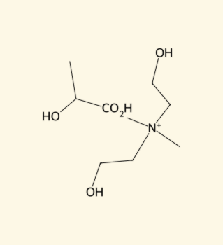 CC(O)C(=O)O.C[N+](C)(CCO)CCO